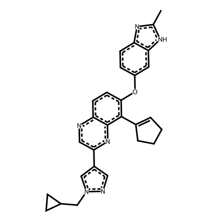 Cc1nc2ccc(Oc3ccc4ncc(-c5cnn(CC6CC6)c5)nc4c3C3=CCCC3)cc2[nH]1